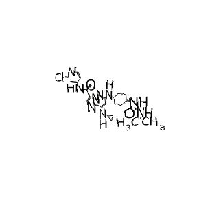 CC(C)NC(=O)NC1CCC(Nc2cc(NC3CC3)c3ncc(C(=O)Nc4ccnc(Cl)c4)n3n2)CC1